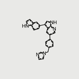 c1cn(Cc2ccc(-c3cnc4[nH]cc(-c5ccc6[nH]ccc6c5)c4c3)cc2)cn1